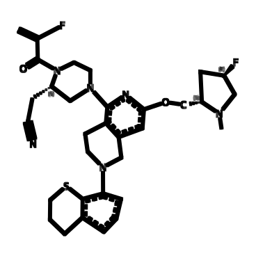 C=C(F)C(=O)N1CCN(c2nc(OC[C@@H]3C[C@@H](F)CN3C)cc3c2CCN(c2cccc4c2SCCC4)C3)C[C@@H]1CC#N